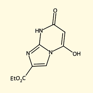 CCOC(=O)c1cn2c(O)cc(=O)[nH]c2n1